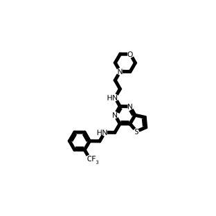 FC(F)(F)c1ccccc1CNCc1nc(NCCN2CCOCC2)nc2ccsc12